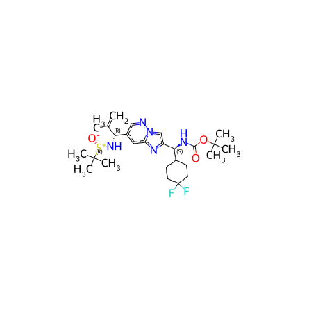 C=C(C)[C@@H](N[S@@+]([O-])C(C)(C)C)c1cnn2cc([C@@H](NC(=O)OC(C)(C)C)C3CCC(F)(F)CC3)nc2c1